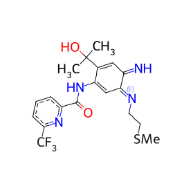 CSCC/N=C1\C=C(NC(=O)c2cccc(C(F)(F)F)n2)C(C(C)(C)O)=CC1=N